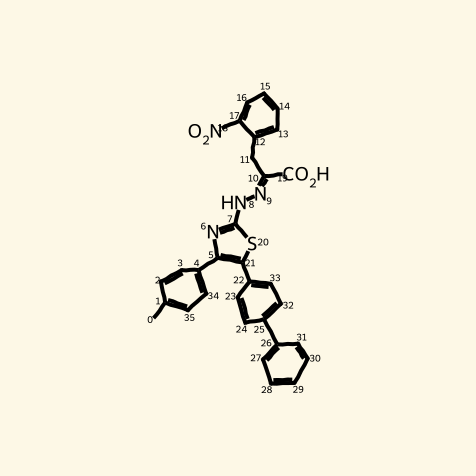 Cc1ccc(-c2nc(NN=C(Cc3ccccc3[N+](=O)[O-])C(=O)O)sc2-c2ccc(-c3ccccc3)cc2)cc1